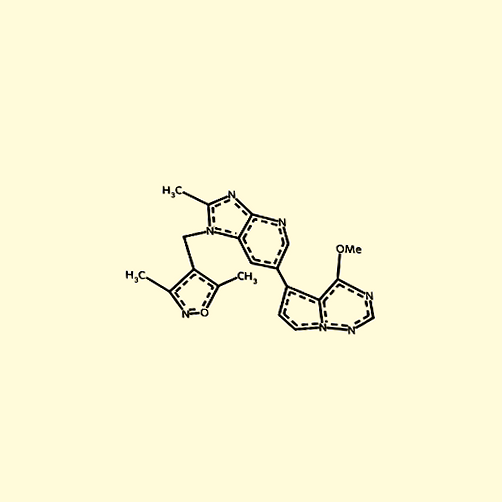 COc1ncnn2ccc(-c3cnc4nc(C)n(Cc5c(C)noc5C)c4c3)c12